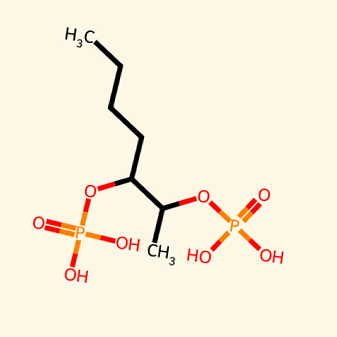 CCCCC(OP(=O)(O)O)C(C)OP(=O)(O)O